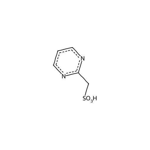 O=S(=O)(O)Cc1ncccn1